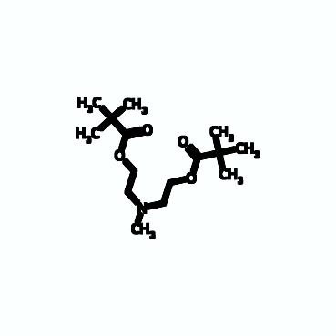 CN(CCOC(=O)C(C)(C)C)CCOC(=O)C(C)(C)C